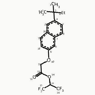 CCC(C)(C)c1ccc2cc(OCC(=O)OC(C(F)(F)F)C(F)(F)F)ccc2c1